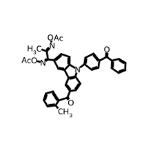 CC(=O)ON=C(C)C(=NOC(C)=O)c1ccc2c(c1)c1cc(C(=O)c3ccccc3C)ccc1n2-c1ccc(C(=O)c2ccccc2)cc1